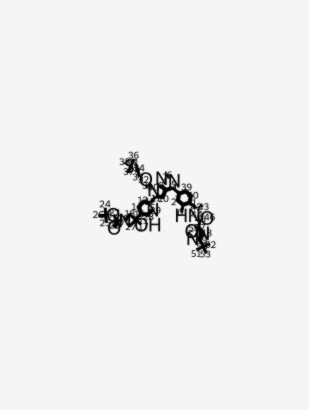 Cc1cc(-c2ncnc3c2cc(-c2ccc(C4(O)CN(C(=O)OC(C)(C)C)C4)cn2)n3COCC[Si](C)(C)C)ccc1[C@@H](C)NC(=O)c1nc(C(C)(C)C)no1